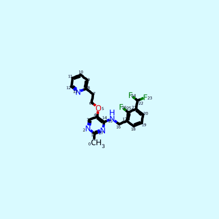 Cc1ncc(OCCc2ccccn2)c(NCc2cccc(C(F)F)c2F)n1